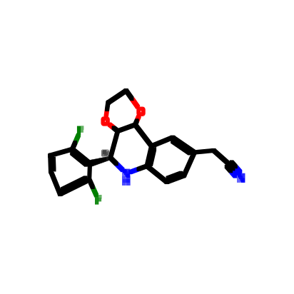 N#CCc1ccc2c(c1)C1OCCOC1[C@H](c1c(F)cccc1F)N2